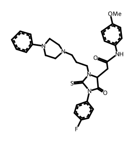 COc1ccc(NC(=O)CC2C(=O)N(c3ccc(F)cc3)C(=S)N2CCCN2CCN(c3ccccc3)CC2)cc1